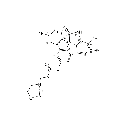 O=C(CCN1CCOCC1)Oc1ccc(C2(c3ccc(F)cc3)C(=O)Nc3c2ccc(F)c3F)cc1